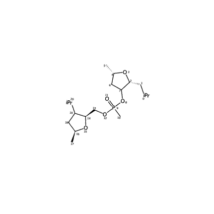 CC(C)C[C@H]1O[C@@H](C)CC1OP(C)(=O)OC[C@H]1O[C@@H](C)CC1C(C)C